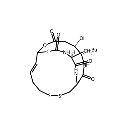 CCC(C)[C@@H]1NC(=O)C2CSSCC/C=C/C(CC(=O)N[C@@H](C)C(=O)N2)OC(=O)C[C@@H]1O